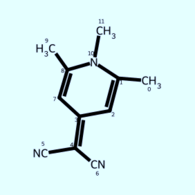 CC1=CC(=C(C#N)C#N)C=C(C)N1C